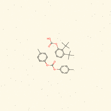 CC(C)(C)c1cccc(OC(=O)O)c1C(C)(C)C.Cc1ccc(OC(=O)Oc2ccc(C)cc2)cc1